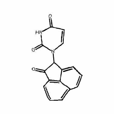 O=C1c2cccc3cccc(c23)C1n1ccc(=O)[nH]c1=O